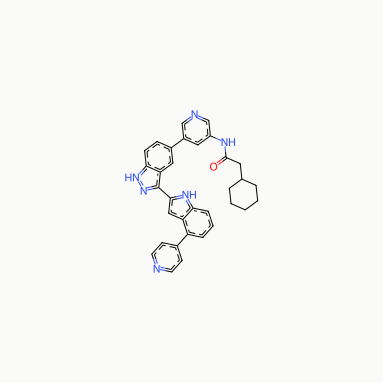 O=C(CC1CCCCC1)Nc1cncc(-c2ccc3[nH]nc(-c4cc5c(-c6ccncc6)cccc5[nH]4)c3c2)c1